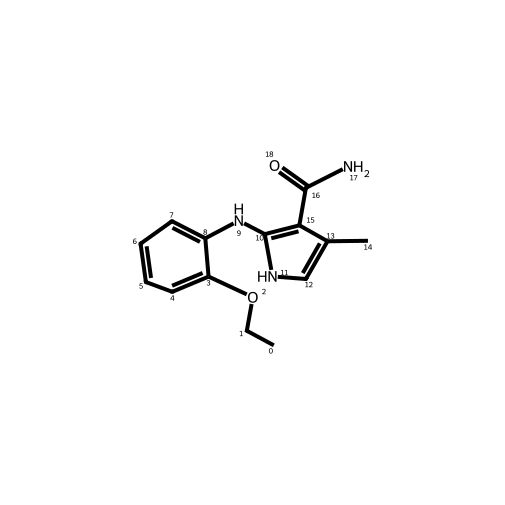 CCOc1ccccc1Nc1[nH]cc(C)c1C(N)=O